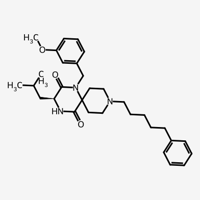 COc1cccc(CN2C(=O)[C@H](CC(C)C)NC(=O)C23CCN(CCCCCc2ccccc2)CC3)c1